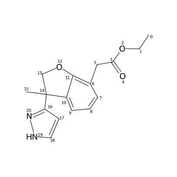 CCOC(=O)Cc1cccc2c1OCC2(C)c1cc[nH]n1